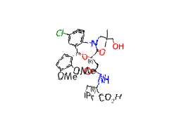 COc1cccc([C@H]2O[C@H](CC(=O)N[C@H](CC(C)C)C(=O)O)C(=O)N(CC(C)(C)CO)c3ccc(Cl)cc32)c1OC